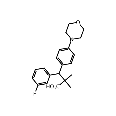 CC(C)(C(=O)O)C(c1ccc(N2CCOCC2)cc1)c1cccc(F)c1